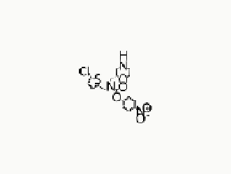 O=C(Oc1ccc([N+](=O)[O-])cc1)N(Cc1ccc(Cl)s1)C[C@@H]1CNCCO1